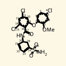 COc1cc(Cl)ccc1Oc1cc(Cl)cc(Cl)c1C(=O)NC1C=CC=C(S(N)(=O)=O)C1